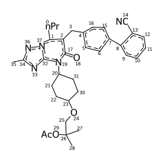 CCCc1c(Cc2ccc(-c3ccccc3C#N)cc2)c(=O)n(C2CCC(OCC(C)(C)OC(C)=O)CC2)c2nc(C)nn12